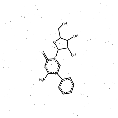 Nc1nc(=O)n(C2OC(CO)C(O)C2O)cc1-c1ccccc1